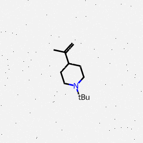 C=C(C)C1CCN(C(C)(C)C)CC1